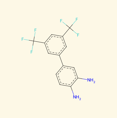 Nc1ccc(-c2cc(C(F)(F)F)cc(C(F)(F)F)c2)cc1N